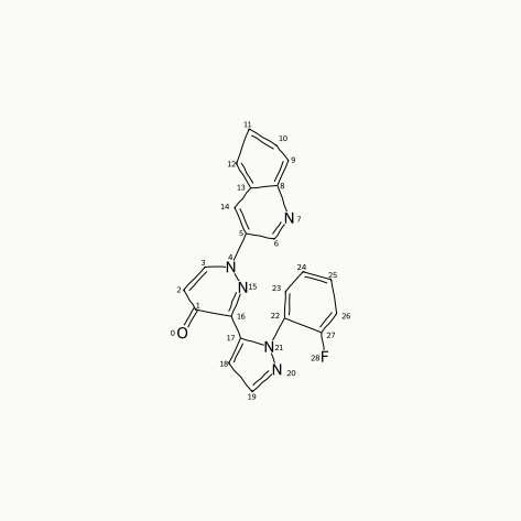 O=c1ccn(-c2cnc3ccccc3c2)nc1-c1ccnn1-c1ccccc1F